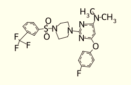 CN(C)c1cc(Oc2ccc(F)cc2)nc(N2CCN(S(=O)(=O)c3cccc(C(F)(F)F)c3)CC2)n1